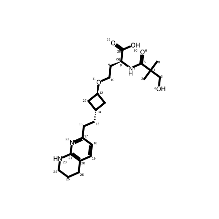 CC(C)(CO)C(=O)N[C@@H](CCO[C@H]1C[C@H](CCc2ccc3c(n2)NCCC3)C1)C(=O)O